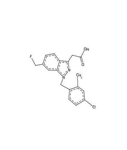 Cc1cc(Cl)ccc1Cn1nc(CC(=O)O)c2ccc(CF)cc21